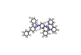 Cc1ccc2c(c1)c1cc(-c3ccccc3)ccc1n2-c1ccc2c(c1)-c1ccccc1B1c3ccccc3-c3ccccc3N12